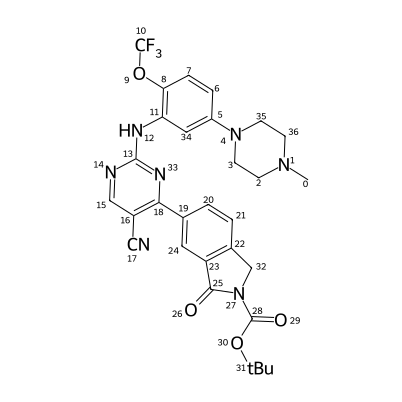 CN1CCN(c2ccc(OC(F)(F)F)c(Nc3ncc(C#N)c(-c4ccc5c(c4)C(=O)N(C(=O)OC(C)(C)C)C5)n3)c2)CC1